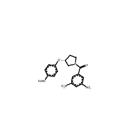 CC(=O)Nc1ccc(O[C@@H]2CCN(C(=O)c3cc([N+](=O)[O-])cc([N+](=O)[O-])c3)C2)cc1